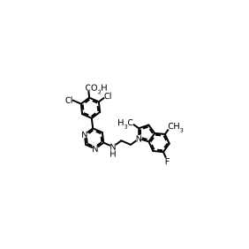 Cc1cc(F)cc2c1cc(C)n2CCNc1cc(-c2cc(Cl)c(C(=O)O)c(Cl)c2)ncn1